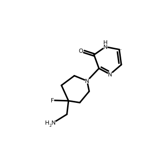 NCC1(F)CCN(c2nc[c][nH]c2=O)CC1